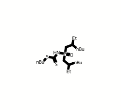 CCCCSC(=S)NP(=O)(CC(CC)CCCC)CC(CC)CCCC